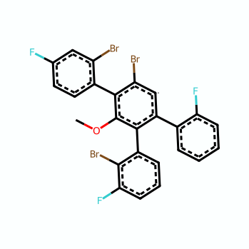 COc1c(-c2ccc(F)cc2Br)c(Br)[c]c(-c2ccccc2F)c1-c1cccc(F)c1Br